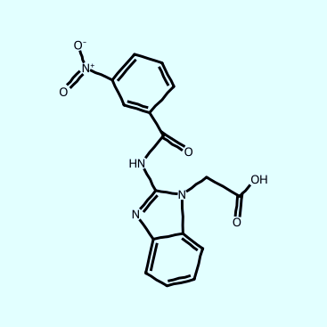 O=C(O)Cn1c(NC(=O)c2cccc([N+](=O)[O-])c2)nc2ccccc21